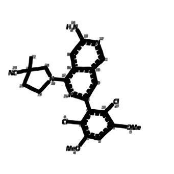 COc1cc(OC)c(Cl)c(-c2cc3cnc(N)cc3c(N3CCC(C)(C#N)C3)n2)c1Cl